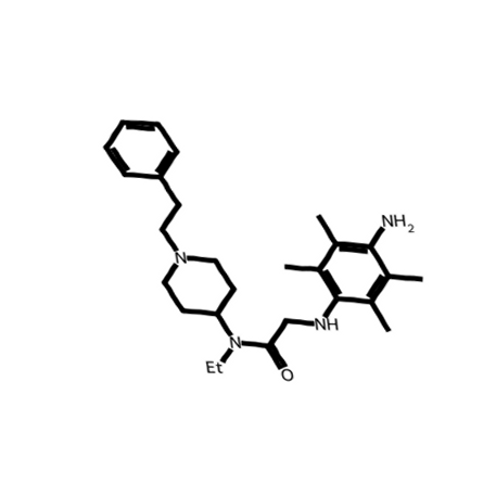 CCN(C(=O)CNc1c(C)c(C)c(N)c(C)c1C)C1CCN(CCc2ccccc2)CC1